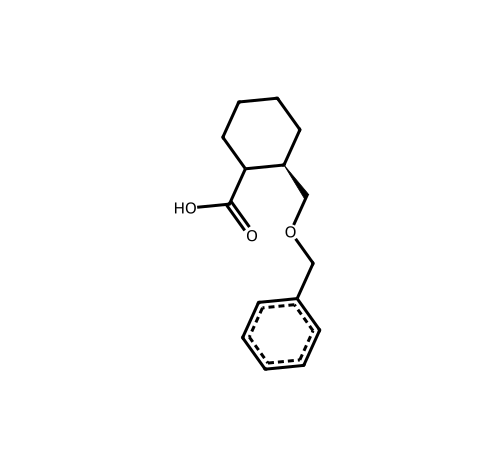 O=C(O)C1CCCC[C@H]1COCc1ccccc1